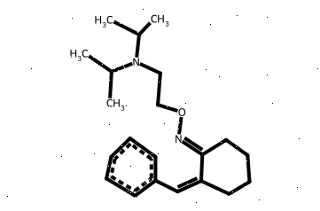 CC(C)N(CCON=C1CCCCC1=Cc1ccccc1)C(C)C